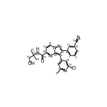 Cc1cc(-c2c(-c3cccc(C#N)c3)nn3ccc(C(=O)NC(C)(C)CO)nc23)cc(Cl)n1